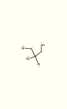 CCCCC(Br)(C#N)CBr